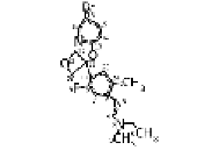 CCN(C)C=Nc1cc(F)c(C2(Oc3ccc(Br)cn3)COC2)cc1C